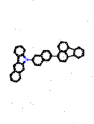 c1ccc2c(c1)-c1cccc3c(-c4ccc5cc(-n6c7ccccc7c7cc8ccccc8cc76)ccc5c4)ccc-2c13